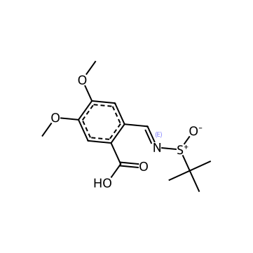 COc1cc(/C=N/[S+]([O-])C(C)(C)C)c(C(=O)O)cc1OC